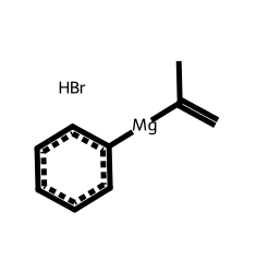 Br.C=[C](C)[Mg][c]1ccccc1